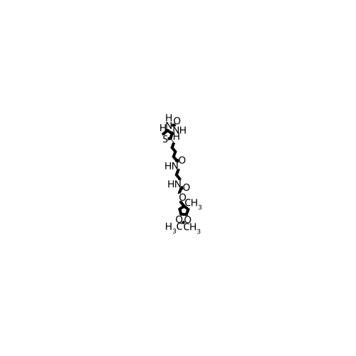 CC1(COCC(=O)NCCCNC(=O)CCCC[C@@H]2SC[C@@H]3NC(=O)N[C@@H]32)CC2OC(C)(C)OC2C1